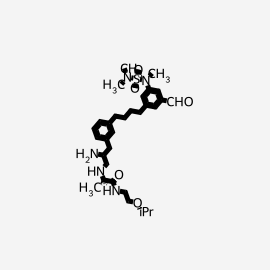 CC(C)OCCNC(=O)[C@H](C)NCC(N)Cc1cccc(CCCCc2cc(C=O)cc(N(C)S(=O)(=O)N(C)C)c2)c1